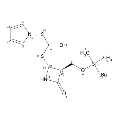 CC(C)(C)[Si](C)(C)OC[C@H]1C(=O)N[C@@H]1SC(=O)Sn1cccc1